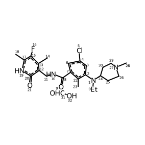 CCN(c1cc(Cl)cc(C(=O)NCc2c(C)c(F)c(C)[nH]c2=O)c1C)C1CCN(C)CC1.O=CO